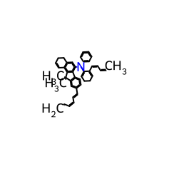 C=C/C=C\C=Cc1ccc2c(c1)C(C)(C)c1c3c(cc(N(C4=CC=C=C=C4)C4=CCCC=C4/C=C\C=C/C)c1-2)CCC=C3